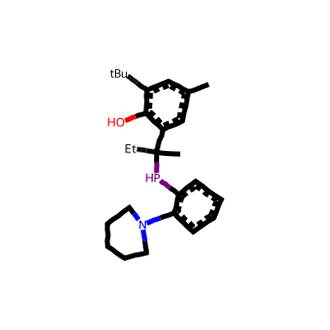 CCC(C)(Pc1ccccc1N1CCCCC1)c1cc(C)cc(C(C)(C)C)c1O